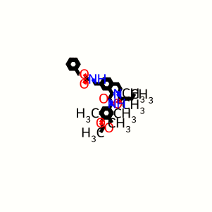 CCC(C)(C)C(=O)N1CCc2ccc(CNC(=O)OCc3ccccc3)cc2C1C(=O)Nc1cc(C)c(OC(C)=O)c(C)c1C